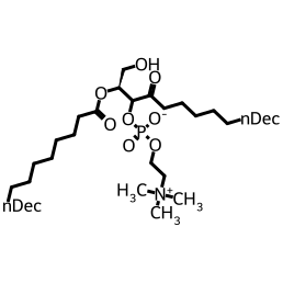 CCCCCCCCCCCCCCCCCC(=O)O[C@@H](CO)C(OP(=O)([O-])OCC[N+](C)(C)C)C(=O)CCCCCCCCCCCCCCC